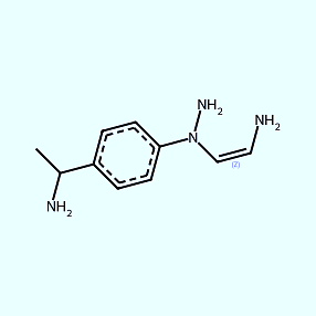 CC(N)c1ccc(N(N)/C=C\N)cc1